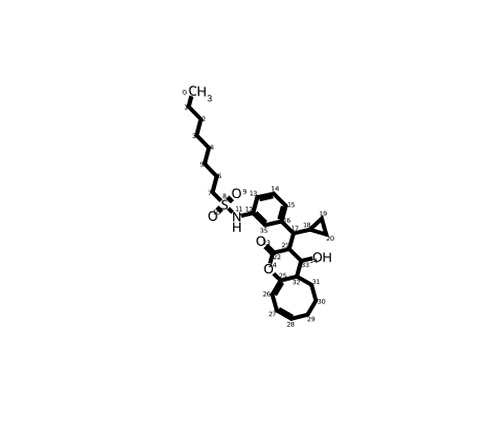 CCCCCCCCS(=O)(=O)Nc1cccc(C(C2CC2)C2C(=O)OC3=CC=CCCCC3C2O)c1